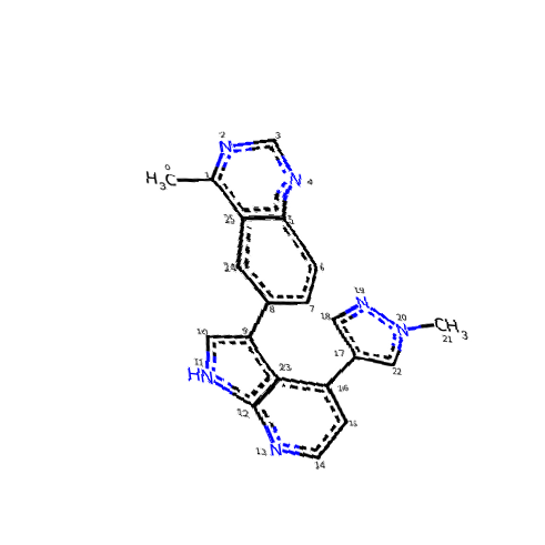 Cc1ncnc2ccc(-c3c[nH]c4nccc(-c5cnn(C)c5)c34)cc12